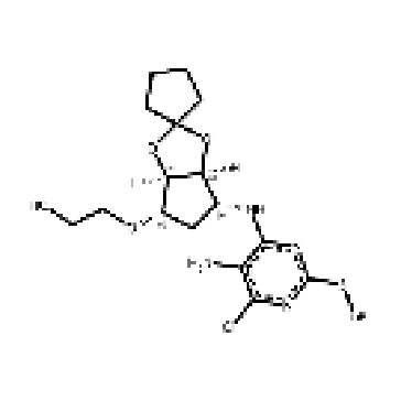 CCCSc1nc(Cl)c(N)c(N[C@@H]2C[C@H](OCCO)[C@H]3OC4(CCCC4)O[C@H]32)n1